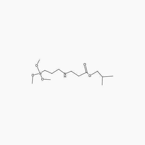 CO[Si](CCCNCCC(=O)OCC(C)C)(OC)OC